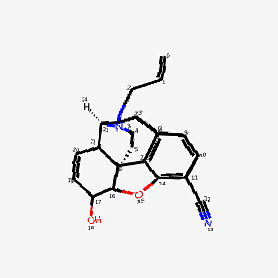 C=CCN1CC[C@]23c4c5ccc(C#N)c4OC2C(O)C=CC3[C@H]1C5